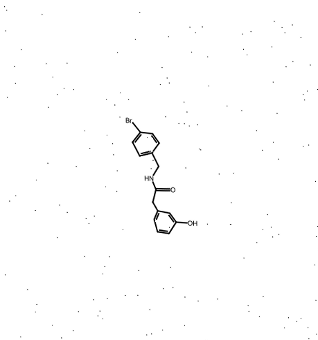 O=C(Cc1cccc(O)c1)NCc1ccc(Br)cc1